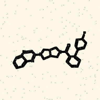 O=C(c1ccccc1C1=CCC(F)C=C1)N1CC2CN(c3cnc4ccccc4n3)CC2C1